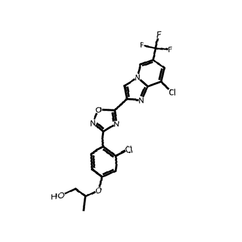 CC(CO)Oc1ccc(-c2noc(-c3cn4cc(C(F)(F)F)cc(Cl)c4n3)n2)c(Cl)c1